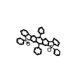 O=P1(C2=CC=CCC2)c2ccccc2-c2cc3c(-c4ccccc4)c4cc5c(cc4c(-c4ccccc4)c3cc21)P(=O)(c1ccccc1)c1ccccc1-5